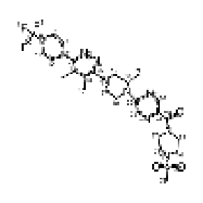 Cc1c(-c2ccc(C(F)(F)F)cc2)nnc(N2CCN(c3cnc(C(=O)N4CCN(S(C)(=O)=O)CC4)cn3)[C@H](C)C2)c1C